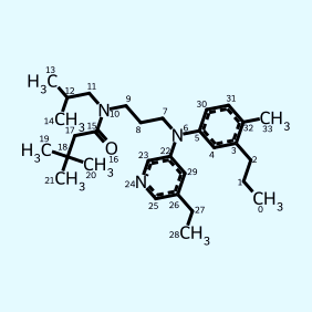 CCCc1cc(N(CCCN(CC(C)C)C(=O)CC(C)(C)C)c2cncc(CC)c2)ccc1C